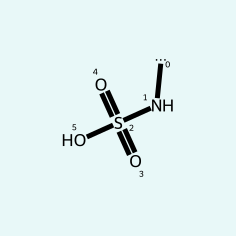 [C]NS(=O)(=O)O